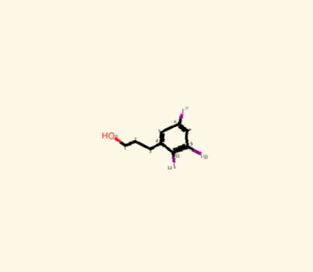 OCCCc1cc(I)cc(I)c1I